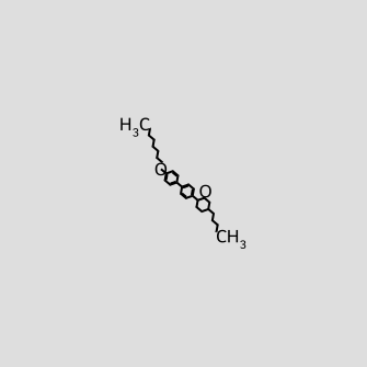 CCCCCCCCOc1ccc(-c2ccc(C3CCC(CCCCC)CC3=O)cc2)cc1